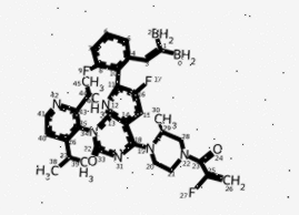 BC(B)=Cc1cccc(F)c1-c1nc2c(cc1F)c(N1CCN(C(=O)C(=C)F)C[C@@H]1C)nc(=O)n2-c1c(C(C)C)ccnc1C(C)C